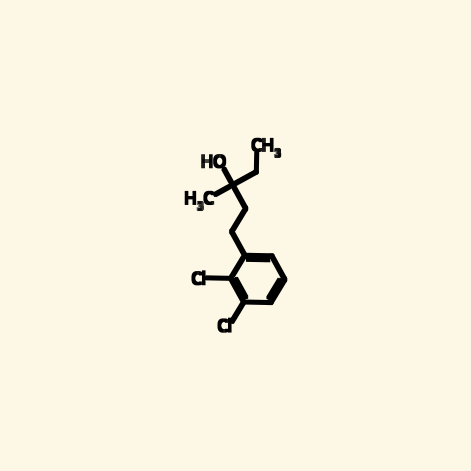 CCC(C)(O)CCc1cccc(Cl)c1Cl